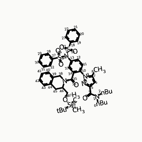 CCCCN(CCCC)C(=O)c1cc(C)n(-c2ccc(N(S(=O)(=O)c3ccccc3)S(=O)(=O)c3ccccc3)cc2C(=O)N2Cc3ccccc3CC2CO[Si](C)(C)C(C)(C)C)n1